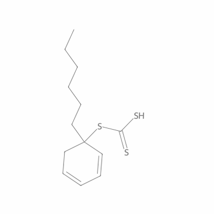 CCCCCCC1(SC(=S)S)C=CC=CC1